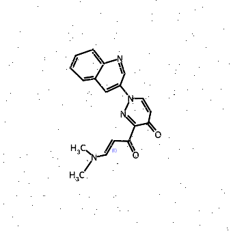 CN(C)/C=C/C(=O)c1nn(-c2cnc3ccccc3c2)ccc1=O